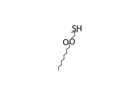 CCCCCCCCCC(=O)OCCC(C)(C)S